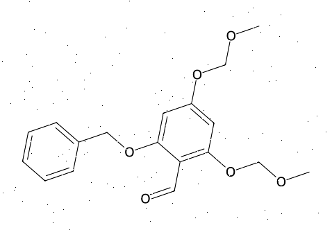 COCOc1cc(OCOC)c(C=O)c(OCc2ccccc2)c1